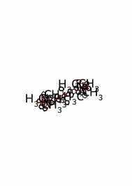 CC12CCCCC1(C)N(c1cccc3ccccc13)c1ccc(-c3ccc4c5c(-c6ccccc6)c6c7ccc(-c8ccc9c(c8)C8(C)CCCCC8(C)N9c8cccc9ccccc89)c8c(-c9ccc%10c(c9)C9(C)CCCCC9(C)N%10c9cccc%10ccccc9%10)ccc(c6c(-c6ccccc6)c5c5ccc(-c6ccc9c(c6)C6(C)CCCCC6(C)N9c6cccc9ccccc69)c3c45)c87)cc12